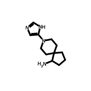 NC1CCCC12CCN(c1cnc[nH]1)CC2